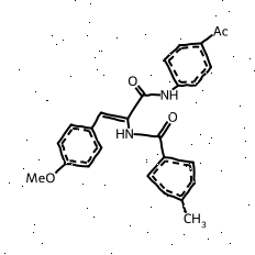 COc1ccc(/C=C(\NC(=O)c2ccc(C)cc2)C(=O)Nc2ccc(C(C)=O)cc2)cc1